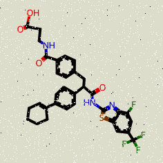 O=C(O)CCNC(=O)c1ccc(CC(C(=O)Nc2nc3c(F)cc(C(F)(F)F)cc3s2)c2ccc(C3=CCCCC3)cc2)cc1